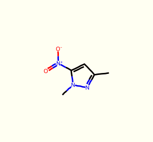 Cc1cc([N+](=O)[O-])n(C)n1